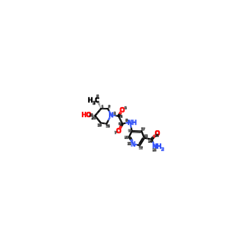 C[C@@H]1CN(C(=O)C(=O)Nc2cncc(C(N)=O)c2)CC[C@@H]1O